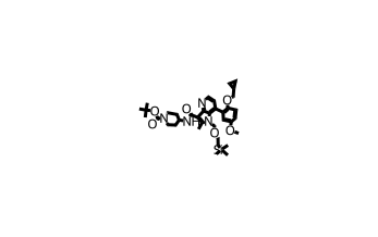 COc1ccc(OCC2CC2)c(-c2ccnc3c(C(=O)NC4CCN(C(=O)OC(C)(C)C)CC4)c(C)n(COCC[Si](C)(C)C)c23)c1